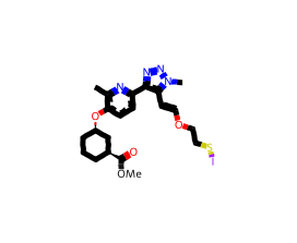 COC(=O)[C@H]1CCC[C@H](Oc2ccc(-c3nnn(C)c3/C=C/OCCSI)nc2C)C1